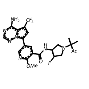 COc1ncc(-c2cc(C(F)(F)F)c3c(N)ncnn23)cc1C(=O)NC1CN(C(C)(C)C(C)=O)CC1F